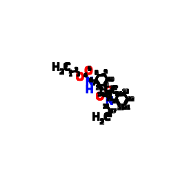 C=CCOC(=O)Nc1cccc(OC(=O)N(CC=C)c2ccccc2C)c1